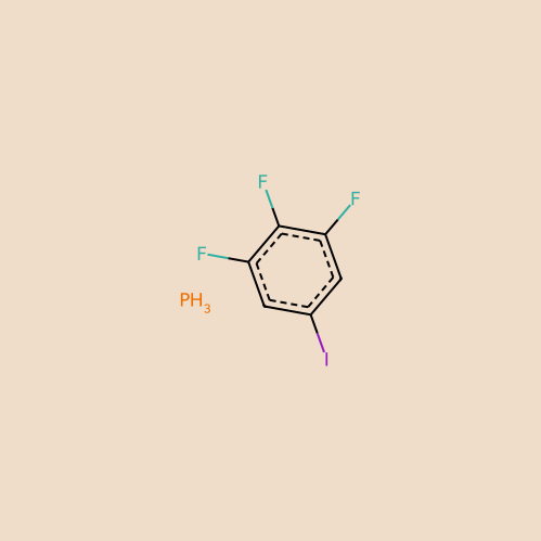 Fc1cc(I)cc(F)c1F.P